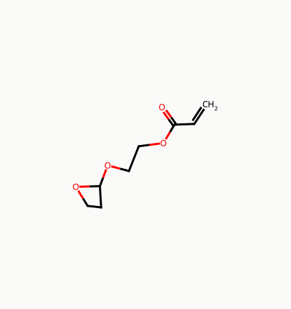 C=CC(=O)OCCOC1CCO1